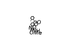 COC[C@H](C(N)=O)N(C)c1ccc2c(-c3ccccc3C)cc(=O)oc2c1